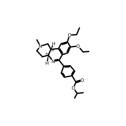 CCOc1cc2c(cc1OCC)[C@H]1CN(C)CC[C@H]1N=C2c1ccc(C(=O)OC(C)C)cc1